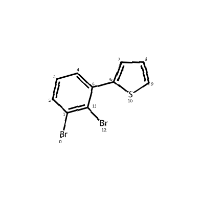 Brc1cccc(-c2cc[c]s2)c1Br